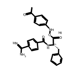 CC(=O)c1ccc(NOC(=O)[C@H](Cc2ccccc2)NC(=O)c2ccc(C(=N)N)cc2)cc1.I